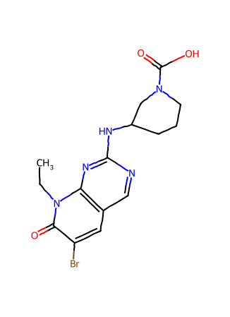 CCn1c(=O)c(Br)cc2cnc(NC3CCCN(C(=O)O)C3)nc21